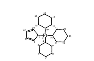 C1=C[CH]([Pt]([CH]2CCCCC2)([CH]2CCCCC2)[CH]2CCCCC2)C=C1